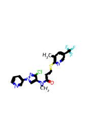 Cc1cc(C(F)(F)F)cnc1SCCC(=O)N(C)c1cn(-c2cccnc2)nc1Cl